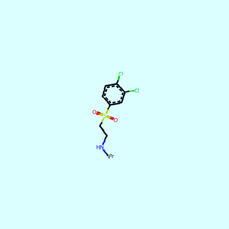 CC(C)NCCS(=O)(=O)c1ccc(Cl)c(Cl)c1